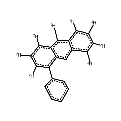 [2H]c1c([2H])c([2H])c2c([2H])c3c([2H])c([2H])c([2H])c(-c4ccccc4)c3cc2c1[2H]